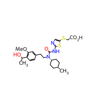 COc1cc(CCN(C(=O)Nc2ncc(SCC(=O)O)s2)[C@H]2CC[C@H](C)CC2)ccc1C(C)O